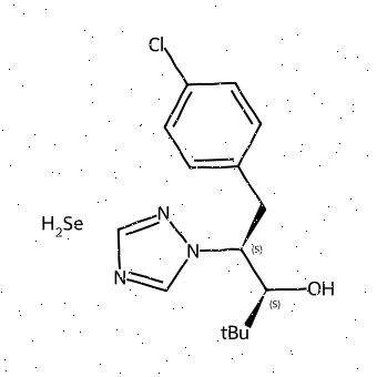 CC(C)(C)[C@H](O)[C@H](Cc1ccc(Cl)cc1)n1cncn1.[SeH2]